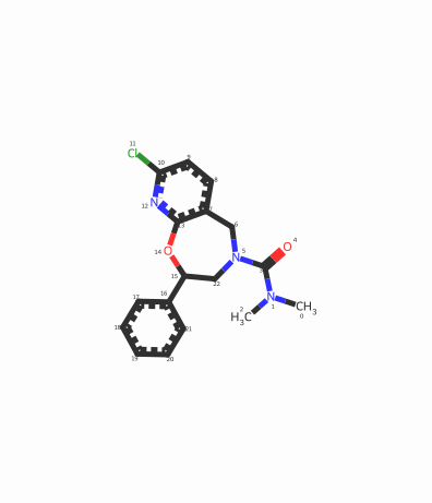 CN(C)C(=O)N1Cc2ccc(Cl)nc2OC(c2ccccc2)C1